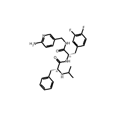 CC(C)N[C@H](Cc1ccccc1)C(=O)N[C@@H](Cc1ccc(F)c(F)c1)C(=O)NCc1ccc(N)nc1